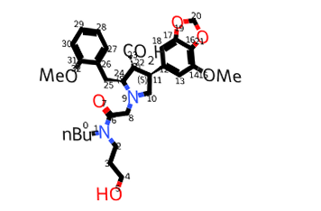 CCCCN(CCCO)C(=O)CN1C[C@H](c2cc(OC)c3c(c2)OCO3)[C@@H](C(=O)O)[C@@H]1Cc1ccccc1OC